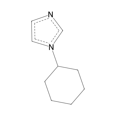 c1cn(C2CCCCC2)cn1